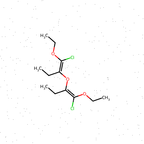 CCOC(Cl)=C(CC)OC(CC)=C(Cl)OCC